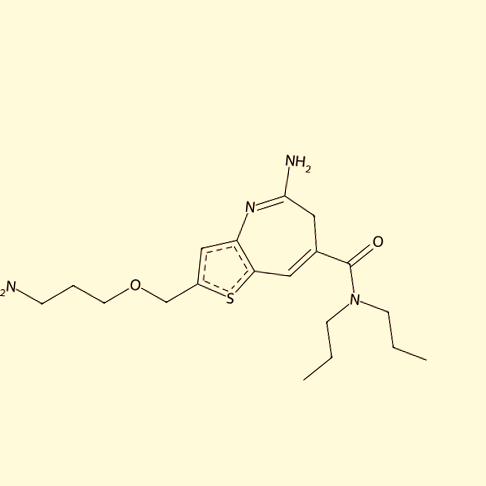 CCCN(CCC)C(=O)C1=Cc2sc(COCCCN)cc2N=C(N)C1